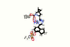 CC(C)(C)OC(=O)N1CC2(CC2)C[C@H]1c1ncc(-c2ccc(OS(=O)(=O)C(F)(F)F)c3c2CCC3)[nH]1